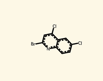 Clc1ccc2nc(Br)cc(Cl)c2c1